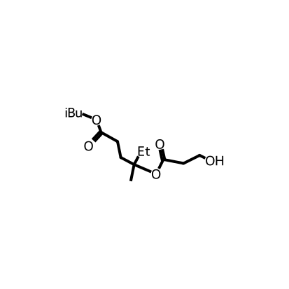 CCC(C)OC(=O)CCC(C)(CC)OC(=O)CCO